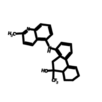 Cc1ccc2c(Nc3cccc4c3CC(O)(C(F)(F)F)C3CCCC=C43)cccc2n1